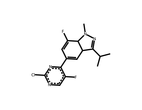 CC(C)C1=NN(C)C2C(F)=CC(c3nc(Cl)ncc3F)=CC12